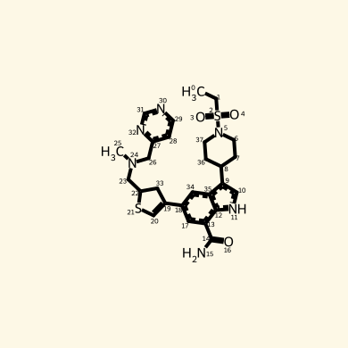 CCS(=O)(=O)N1CCC(c2c[nH]c3c(C(N)=O)cc(C4=CSC(CN(C)Cc5ccncn5)C4)cc23)CC1